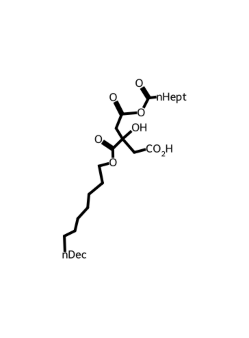 CCCCCCCCCCCCCCCCCOC(=O)C(O)(CC(=O)O)CC(=O)OC(=O)CCCCCCC